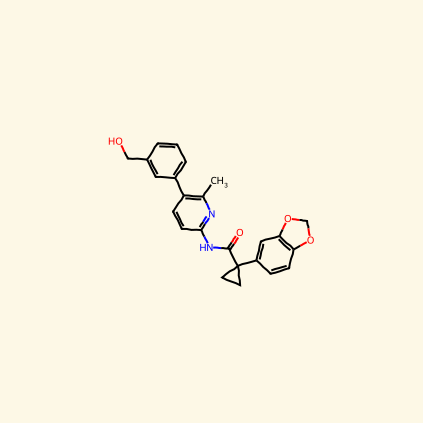 Cc1nc(NC(=O)C2(c3ccc4c(c3)OCO4)CC2)ccc1-c1cccc(CO)c1